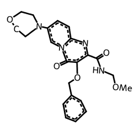 COCNC(=O)c1nc2ccc(N3CCOCC3)cn2c(=O)c1OCc1ccccc1